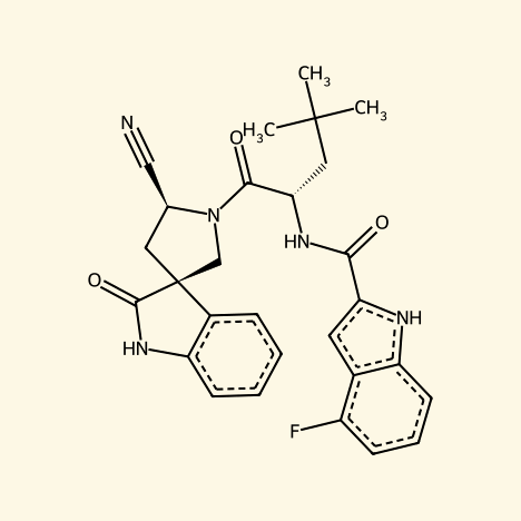 CC(C)(C)C[C@H](NC(=O)c1cc2c(F)cccc2[nH]1)C(=O)N1C[C@]2(C[C@H]1C#N)C(=O)Nc1ccccc12